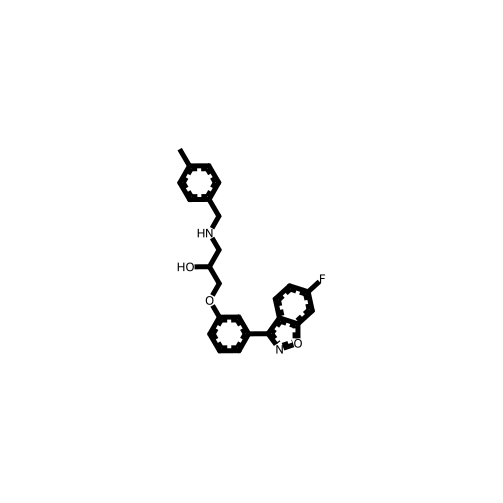 Cc1ccc(CNCC(O)COc2cccc(-c3noc4cc(F)ccc34)c2)cc1